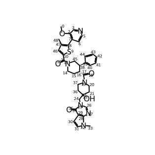 COc1cnccc1-c1sc(C(=O)N2CC[C@@H](C(=O)N3CCC(O)(Cn4cnc5c(ccn5C)c4=O)CC3)[C@H](c3ccccc3)C2)cc1C